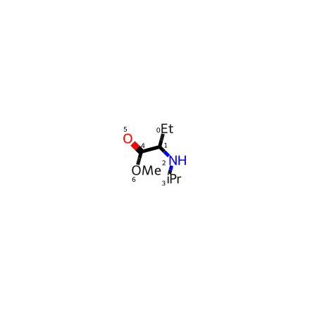 CCC(NC(C)C)C(=O)OC